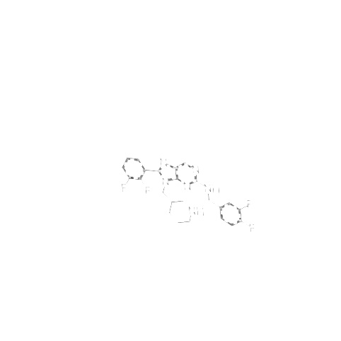 Fc1ccc(CNc2ncc3nc(-c4cccc(F)c4F)n(C[C@@H]4CCCNC4)c3n2)cc1F